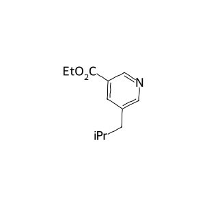 CCOC(=O)c1cncc(CC(C)C)c1